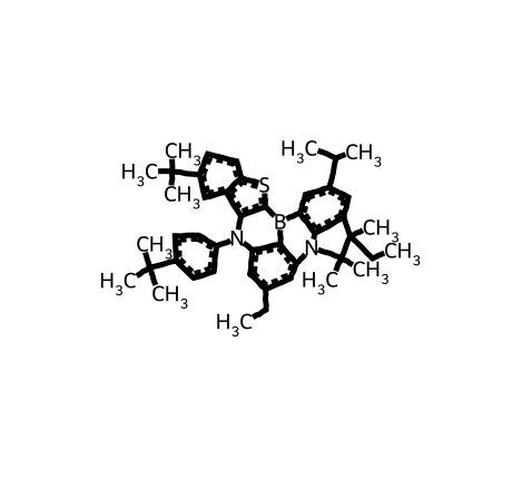 CCc1cc2c3c(c1)N1c4c(cc(C(C)C)cc4C(C)(CC)C1(C)C)B3c1sc3ccc(C(C)(C)C)cc3c1N2c1ccc(C(C)(C)C)cc1